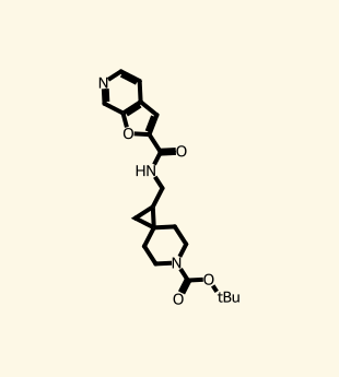 CC(C)(C)OC(=O)N1CCC2(CC1)CC2CNC(=O)c1cc2ccncc2o1